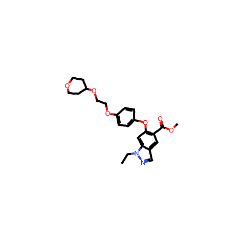 CCn1ncc2cc(C(=O)OC)c(Oc3ccc(OCCOC4CCOCC4)cc3)cc21